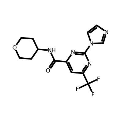 O=C(NC1CCOCC1)c1cc(C(F)(F)F)nc(-n2ccnc2)n1